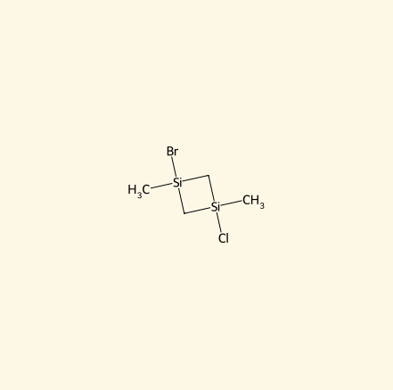 C[Si]1(Cl)C[Si](C)(Br)C1